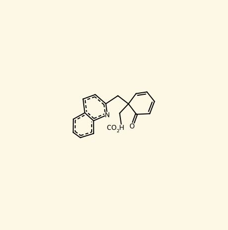 O=C(O)CC1(Cc2ccc3ccccc3n2)C=CC=CC1=O